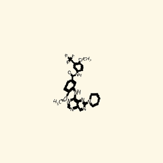 COc1ccc(C(=O)Nc2ccc(OC)c(C(F)(F)F)c2)cc1Nc1ncnc2cnc(N3CCCCC3)nc12